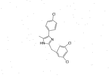 Cc1[nH]c(Cc2cc(Cl)cc(Cl)c2)nc1-c1ccc(Cl)cc1